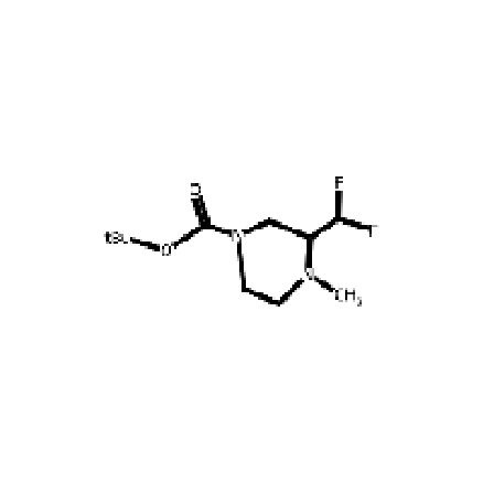 CN1CCN(C(=O)OC(C)(C)C)CC1C(F)F